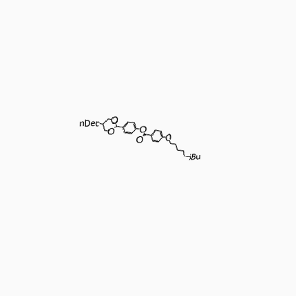 CCCCCCCCCCC1COC(c2ccc(OC(=O)c3ccc(OCCCCCC(C)CC)cc3)cc2)OC1